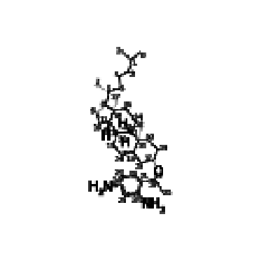 CC(C)CCC[C@@H](C)[C@H]1CC[C@H]2[C@@H]3CC=C4C[C@@H](OC(C)c5ccc(N)cc5N)CC[C@]4(C)[C@H]3CC[C@]12C